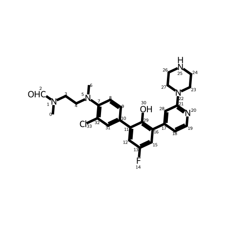 CN(C=O)CCN(C)c1ccc(-c2cc(F)cc(-c3ccnc(N4CCNCC4)c3)c2O)cc1Cl